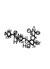 CN1C(=O)S/C(=C\c2cc(OCc3cnc(NC(=O)c4ccncc4)nc3)c(O)cc2Br)C1=O